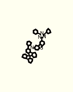 c1ccc(-c2nc(-c3ccccc3)nc(-c3ccc4sc5ccc(-n6c7ccccc7c7ccc8c(c76)-c6ccccc6C86c7ccccc7-c7ccccc76)cc5c4c3)n2)cc1